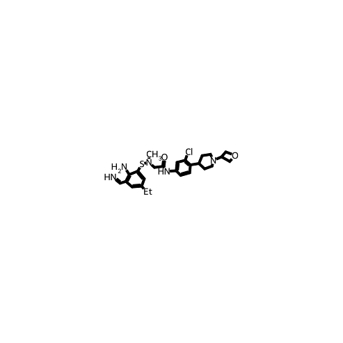 CCc1cc(C=N)c(N)c(SN(C)CC(=O)Nc2ccc(C3CCN(C4COC4)CC3)c(Cl)c2)c1